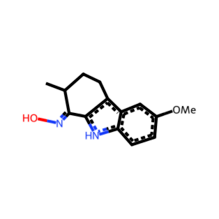 COc1ccc2[nH]c3c(c2c1)CCC(C)C3=NO